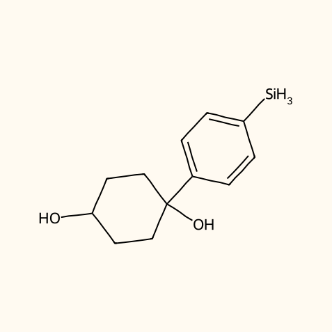 OC1CCC(O)(c2ccc([SiH3])cc2)CC1